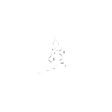 CCCOC(=O)COc1c(C(=O)O)sc(-c2cccc(N(C3CCNCC3)S(=O)(=O)Cc3ccccc3)c2)c1Cl